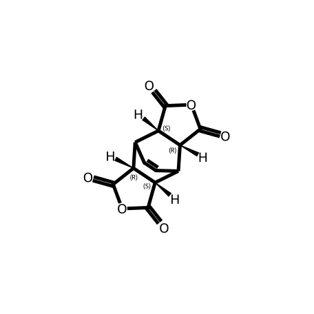 O=C1OC(=O)[C@H]2C3C=CC([C@@H]12)[C@@H]1C(=O)OC(=O)[C@H]31